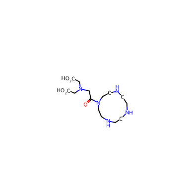 O=C(O)CN(CC(=O)O)CC(=O)N1CCNCCNCCNCC1